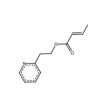 CC=CC(=O)OCCc1ccccn1